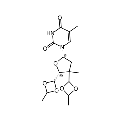 Cc1cn([C@@H]2CC(C)(C3OC(C)O3)[C@H](C3OC(C)O3)O2)c(=O)[nH]c1=O